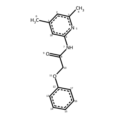 Cc1cc(C)nc(NC(=O)COc2ccccc2)c1